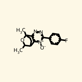 CC1OC2(C)CCC1c1c2nnc(-c2ccc(F)cc2)[n+]1[O-]